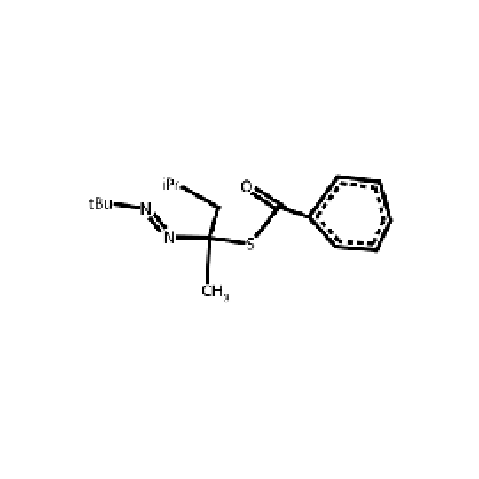 CC(C)CC(C)(N=NC(C)(C)C)SC(=O)c1ccccc1